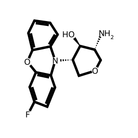 N[C@@H]1COC[C@H](N2c3ccccc3Oc3cc(F)ccc32)[C@H]1O